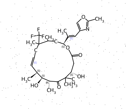 C/C(=C\c1coc(C)n1)[C@@H]1CC(C)C(C)(C(F)(F)F)C/C=C/[C@H](C)[C@H](O)[C@@H](C)C(=O)C(C)(C)[C@@H](O)CC(=O)O1